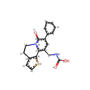 O=C(O)NCc1cc(-c2ccccc2)c(=O)n2c1-c1sccc1CC2